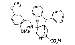 COc1ccc(OC(F)(F)F)cc1CN[C@@H]1CN2CC[C@@]1(C(c1ccccc1)c1ccccc1)CC2C(=O)O